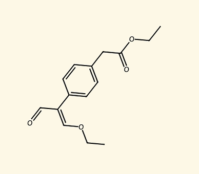 CCO/C=C(/C=O)c1ccc(CC(=O)OCC)cc1